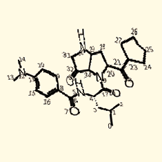 CC(C)C[C@H](NC(=O)c1ccc(N(C)C)cc1)C(=O)N1C(C(=O)C2CCCC2)CC2NCC(=O)C21